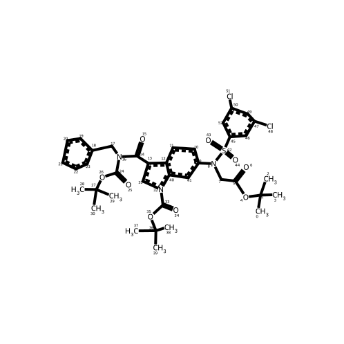 CC(C)(C)OC(=O)CN(c1ccc2c(C(=O)N(Cc3ccccc3)C(=O)OC(C)(C)C)cn(C(=O)OC(C)(C)C)c2c1)S(=O)(=O)c1cc(Cl)cc(Cl)c1